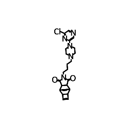 O=C1C2C3C=CC(C4C=CC43)C2C(=O)N1CCCCN1CCN(c2cncc(Cl)n2)CC1